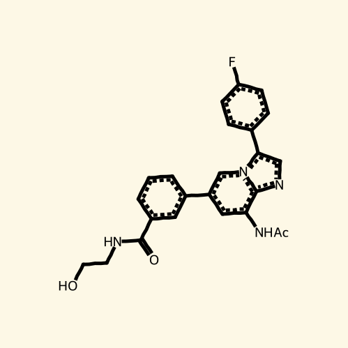 CC(=O)Nc1cc(-c2cccc(C(=O)NCCO)c2)cn2c(-c3ccc(F)cc3)cnc12